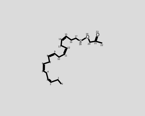 CC/C=C\C/C=C\C/C=C\C/C=C\C/C=C\CCSOCC(C)=O